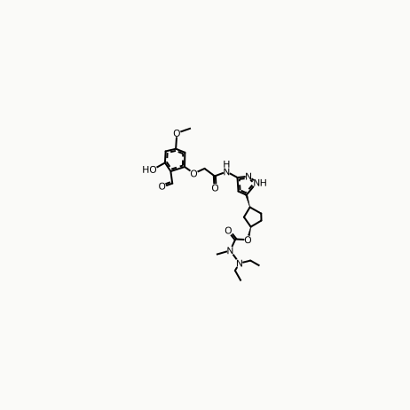 CCN(CC)N(C)C(=O)O[C@@H]1CC[C@H](c2cc(NC(=O)COc3cc(OC)cc(O)c3C=O)n[nH]2)C1